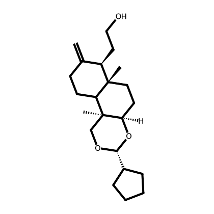 C=C1CCC2[C@]3(C)CO[C@@H](C4CCCC4)O[C@@H]3CC[C@@]2(C)[C@@H]1CCO